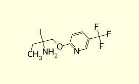 CCC(N)(I)COc1ccc(C(F)(F)F)cn1